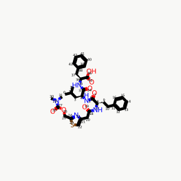 CC(C)C[C@H](NC(=O)[C@H](CCc1ccccc1)NC(=O)Cc1csc(COC(=O)N(C)C)n1)C(=O)N[C@@H](Cc1ccccc1)C(=O)O